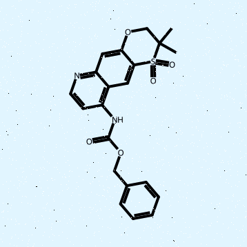 CC1(C)COc2cc3nccc(NC(=O)OCc4ccccc4)c3cc2S1(=O)=O